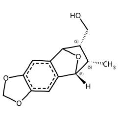 C[C@@H]1[C@H]2OC(c3cc4c(cc32)OCO4)[C@@H]1CO